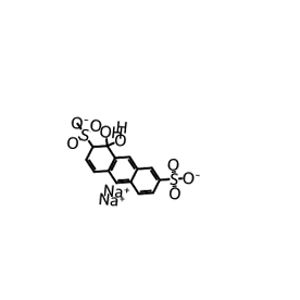 O=S(=O)([O-])c1ccc2cc3c(cc2c1)C(O)(O)C(S(=O)(=O)[O-])C=C3.[Na+].[Na+]